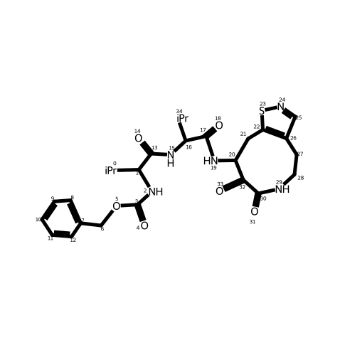 CC(C)C(NC(=O)OCc1ccccc1)C(=O)NC(C(=O)NC1Cc2sncc2CCNC(=O)C1=O)C(C)C